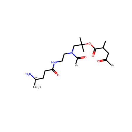 CC(C)C(=O)CC(C)C(=O)OC(C)(C)CN(CCNC(=O)CC[C@H](N)C(=O)O)C(=O)C(C)C